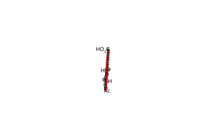 CC(=O)COCCOCCNC(=O)COCCOCCNC(=O)CCCCCCCCCCCCCCCCC(=O)O